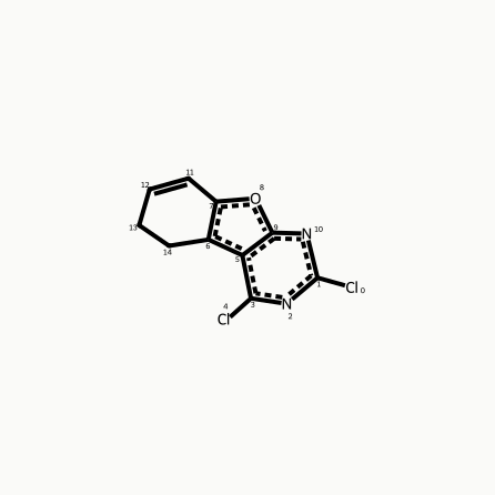 Clc1nc(Cl)c2c3c(oc2n1)C=CCC3